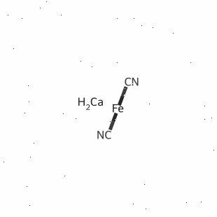 N#[C][Fe][C]#N.[CaH2]